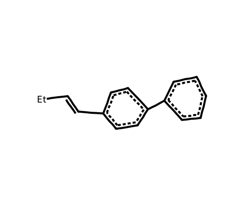 CCC=Cc1ccc(-c2ccccc2)cc1